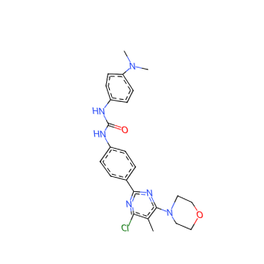 Cc1c(Cl)nc(-c2ccc(NC(=O)Nc3ccc(N(C)C)cc3)cc2)nc1N1CCOCC1